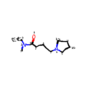 CCN(C)C(=O)CCCN1CCCC1